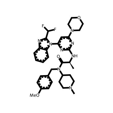 COc1ccc(CN(C(=O)[C@H](C)Nc2nc(N3CCOCC3)cc(-n3c(C(F)F)nc4ccccc43)n2)C2CCN(C)CC2)cc1